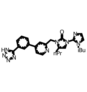 CCCc1cn(-c2nccn2C(C)CC)c(=O)n1Cc1cc(-c2cccc(-c3nnn[nH]3)c2)ccn1